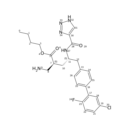 CCCCOC(=O)[C@H](CN)C[C@@H](Cc1ccc(-c2cc(Cl)ccc2F)cc1)NC(=O)c1c[nH]nn1